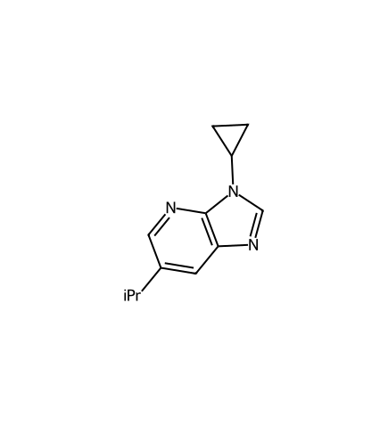 CC(C)c1cnc2c(c1)ncn2C1CC1